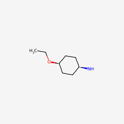 CCO[C@H]1CC[C@@H]([NH])CC1